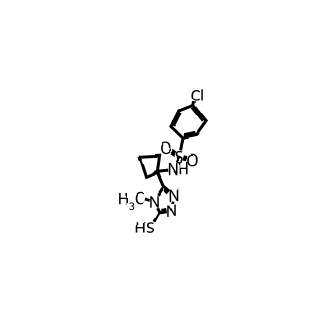 Cn1c(S)nnc1C1(NS(=O)(=O)c2ccc(Cl)cc2)CCC1